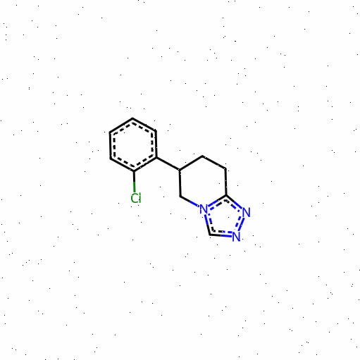 Clc1ccccc1C1CCc2nncn2C1